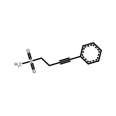 CS(=O)(=O)CCC#Cc1ccccc1